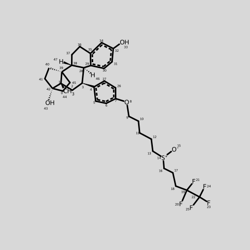 C[C@]12C[C@H](c3ccc(OCCCCC[S+]([O-])CCCC(F)(F)C(F)(F)F)cc3)[C@@H]3c4ccc(O)cc4CC[C@H]3[C@]13CC[C@]2(O)CC3